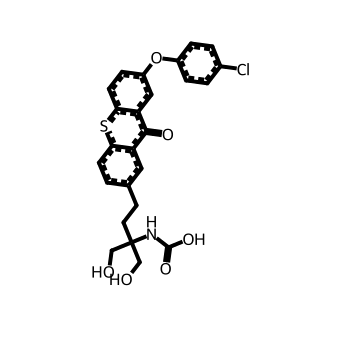 O=C(O)NC(CO)(CO)CCc1ccc2sc3ccc(Oc4ccc(Cl)cc4)cc3c(=O)c2c1